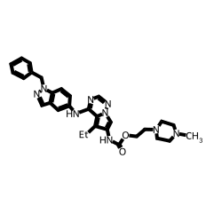 CCc1c(NC(=O)OCCN2CCN(C)CC2)cn2ncnc(Nc3ccc4c(cnn4Cc4ccccc4)c3)c12